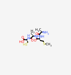 CSCC[C@H](NC(=O)[C@H](C)N)C(=O)N[C@@H](C)C(=O)N[C@@H](CS)C(=O)O